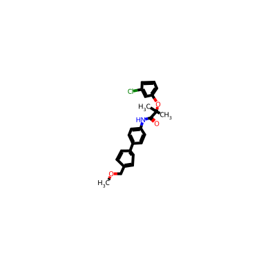 COCc1ccc(-c2ccc(NC(=O)C(C)(C)Oc3cccc(Cl)c3)cc2)cc1